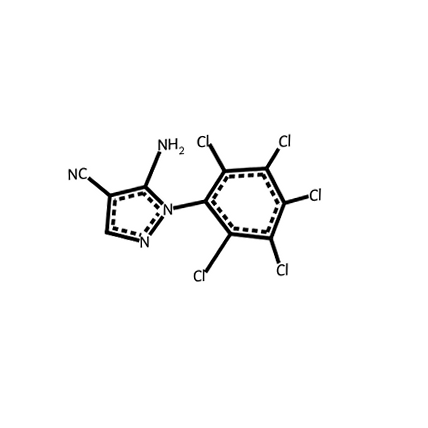 N#Cc1cnn(-c2c(Cl)c(Cl)c(Cl)c(Cl)c2Cl)c1N